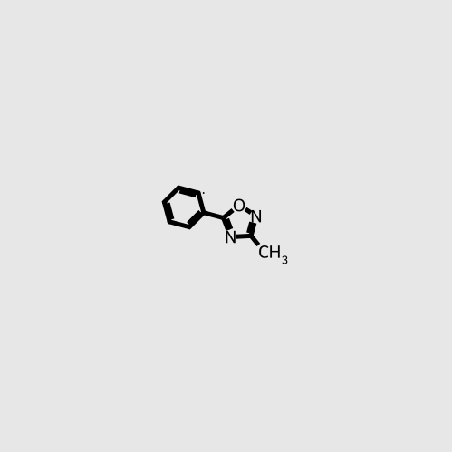 Cc1noc(-c2[c]cccc2)n1